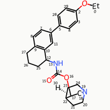 CCOc1ccc(-c2ccc3c(c2)C(NC(=O)O[C@H]2CN4CCC2CC4)CCC3)cc1